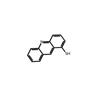 Sc1cccc2nc3ccccc3cc12